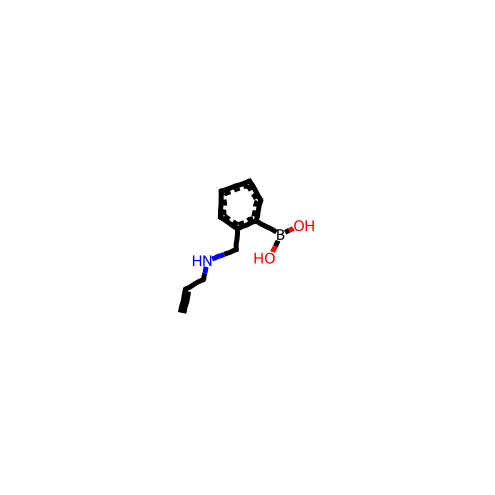 C=CCNCc1ccccc1B(O)O